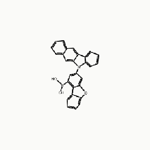 OB(O)c1cc(-n2c3ccccc3c3cc4ccccc4cc32)cc2oc3ccccc3c12